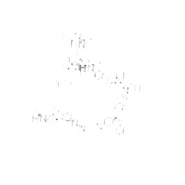 CC(C)C(=O)CCC(=O)N[C@H](C(=O)N[C@@H](CCCNC(N)=O)C(=O)Nc1ccc(COC(=O)N(C)CCN(C)C(=O)Oc2ccc3c(c2)CC[C@H](c2ccccc2)[C@@H]3c2ccc(N3CCC(CN4CCN(c5ccc6c(c5)CN([C@H]5CCC(=O)NC5=O)C6=O)CC4)CC3)cc2)cc1)C(C)C